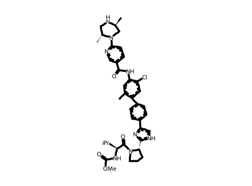 COC(=O)N[C@H](C(=O)N1CCC[C@H]1c1nc(-c2ccc(-c3cc(Cl)c(NC(=O)c4ccc(N5C[C@H](C)NC[C@H]5C)nc4)cc3C)cc2)c[nH]1)C(C)C